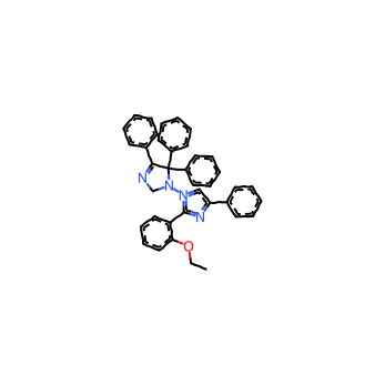 CCOc1ccccc1-c1nc(-c2ccccc2)cn1N1CN=C(c2ccccc2)C1(c1ccccc1)c1ccccc1